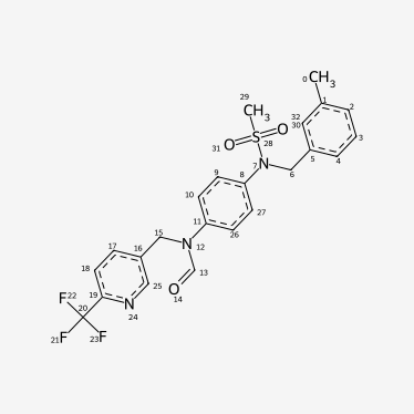 Cc1cccc(CN(c2ccc(N(C=O)Cc3ccc(C(F)(F)F)nc3)cc2)S(C)(=O)=O)c1